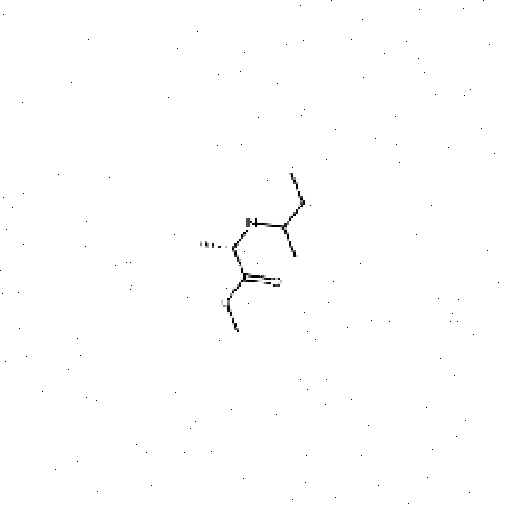 CCC(C)N[C@@H](C)C(=O)OC